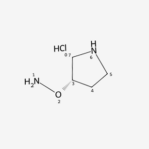 Cl.NO[C@H]1CCNC1